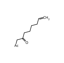 C=CCCCCC(=O)CC(C)=O